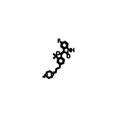 CN1CCN(CCCc2ccc3c(c2)C(C)(C)OC3=C2C(=O)Nc3ccc(F)cc32)CC1